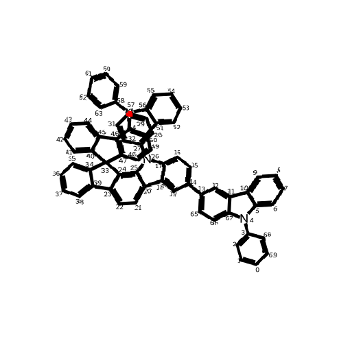 c1ccc(-n2c3ccccc3c3cc(-c4ccc5c(c4)c4ccc6c(c4n5-c4ccccc4)C4(c5ccccc5-6)c5ccccc5-c5c4ccc4c6ccccc6n(-c6ccccc6)c54)ccc32)cc1